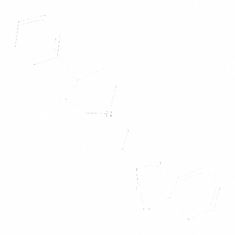 c1ccc(C2CCN(CCC3COc4ccccc4O3)CC2)cc1